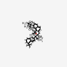 CC(C)(C)C(C)(c1ccc2ccc(CC(C)(C)C(C)(c3ccc4c(C(F)(F)F)cccc4n3)C(C)(C)C)c(C(F)(F)F)c2n1)C(C)(C)C